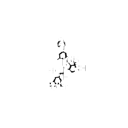 Cc1cc(N2CCOCC2)cc2[nH]c(-c3c(NC[C@@H](O)c4cc(Br)c5c(c4)CCO5)cc[nH]c3=O)nc12